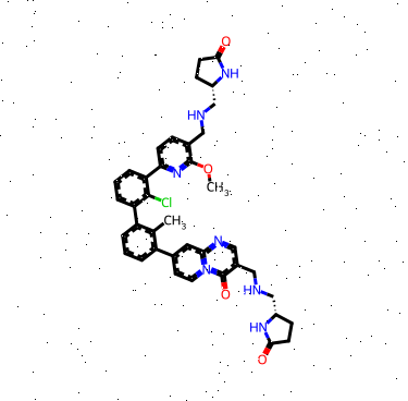 COc1nc(-c2cccc(-c3cccc(-c4ccn5c(=O)c(CNC[C@@H]6CCC(=O)N6)cnc5c4)c3C)c2Cl)ccc1CNC[C@@H]1CCC(=O)N1